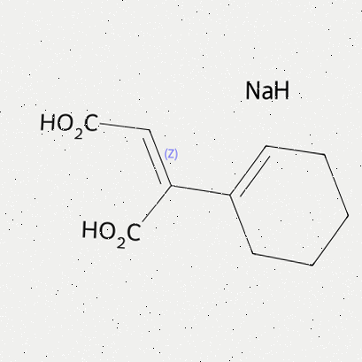 O=C(O)/C=C(\C(=O)O)C1=CCCCC1.[NaH]